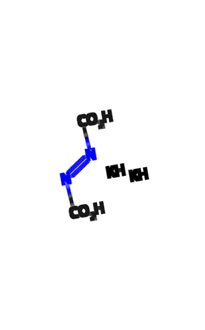 O=C(O)/N=N/C(=O)O.[KH].[KH]